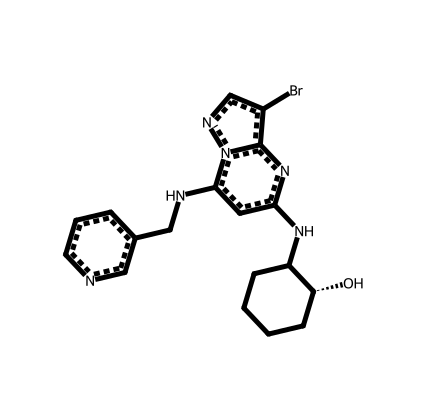 O[C@@H]1CCCCC1Nc1cc(NCc2cccnc2)n2ncc(Br)c2n1